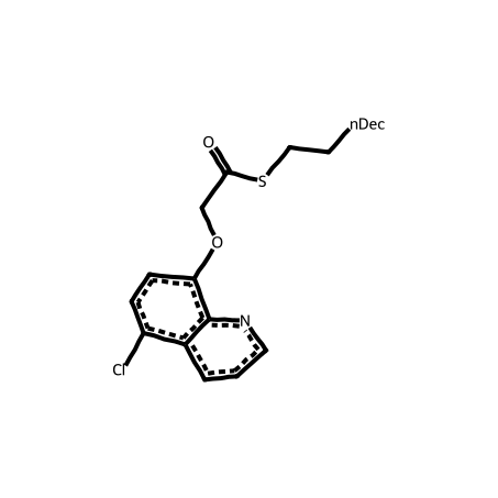 CCCCCCCCCCCCSC(=O)COc1ccc(Cl)c2cccnc12